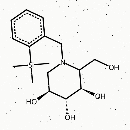 C[Si](C)(C)c1ccccc1CN1C[C@H](O)[C@@H](O)[C@H](O)C1CO